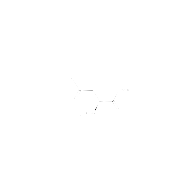 COC(=O)[C@H](CC(N)=O)N(C)O